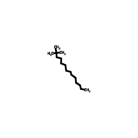 CCCC[CH]CCCCCCCC(C)(C)C